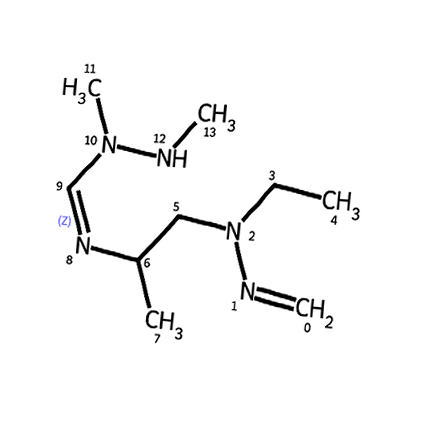 C=NN(CC)CC(C)/N=C\N(C)NC